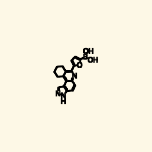 OB(O)c1ccc(-c2nc3ccc4[nH]ncc4c3c3c2CCCC3)o1